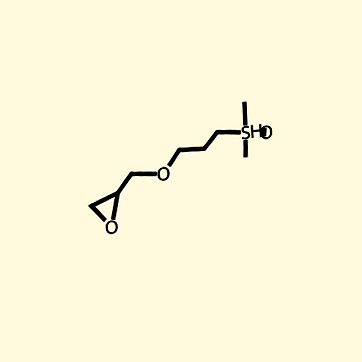 C[SH](C)(=O)CCCOCC1CO1